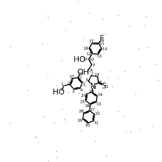 OCc1ccc([C@@H]2[C@H](CC[C@H](O)c3ccc(F)cc3)CC(=S)N2c2ccc(-c3ccccc3)cc2)c(O)c1